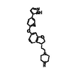 c1cc(-c2ccc(Oc3ccc4c(c3)OCC4CCN3CCNCC3)nc2)[nH]n1